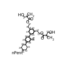 C=C(CO)C(=O)OCCc1cc(CCOC(=O)C(=C)CO)cc(-c2ccc(C3CCC(CCCCC)CC3)cc2F)c1